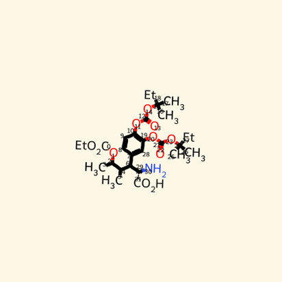 CCOC(=O)OC(C)C(C)C(c1ccc(OC(=O)OC(C)(C)CC)c(OC(=O)OC(C)(C)CC)c1)[C@H](N)C(=O)O